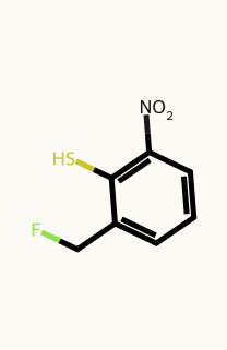 O=[N+]([O-])c1cccc(CF)c1S